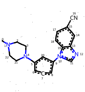 CN1CCN(c2cccc(-n3cnc4cc(C#N)ccc43)c2)CC1